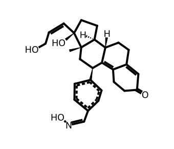 C[C@]12C[C@H](c3ccc(/C=N\O)cc3)C3=C4CCC(=O)C=C4CC[C@H]3[C@@H]1CC[C@@]2(O)/C=C\CO